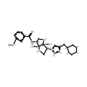 O=Cc1cccc(C(=O)N[C@H]2CO[C@H]3[C@@H]2OC[C@@H]3n2cc(CC3CCCCC3)nn2)c1